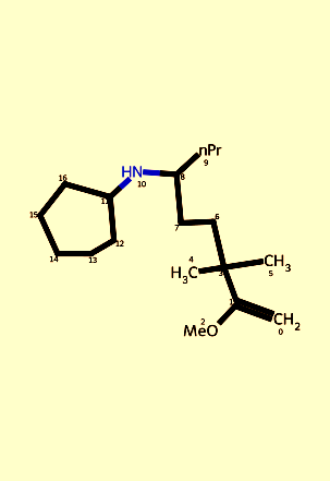 C=C(OC)C(C)(C)CCC(CCC)NC1CCCCC1